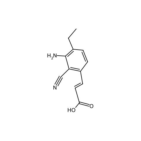 CCc1ccc(C=CC(=O)O)c(C#N)c1N